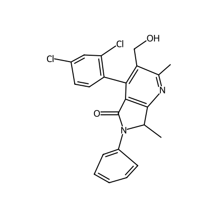 Cc1nc2c(c(-c3ccc(Cl)cc3Cl)c1CO)C(=O)N(c1ccccc1)C2C